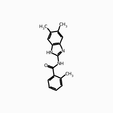 Cc1cc2nc(NC(=O)c3ccccc3C)[nH]c2cc1C